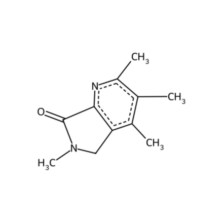 Cc1nc2c(c(C)c1C)CN(C)C2=O